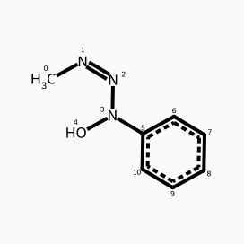 C/N=N\N(O)c1ccccc1